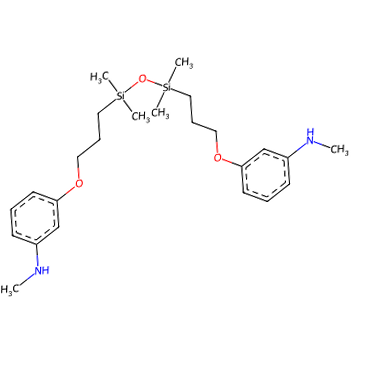 CNc1cccc(OCCC[Si](C)(C)O[Si](C)(C)CCCOc2cccc(NC)c2)c1